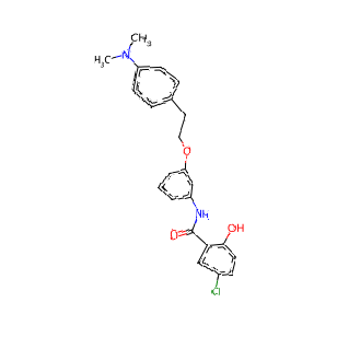 CN(C)c1ccc(CCOc2cccc(NC(=O)c3cc(Cl)ccc3O)c2)cc1